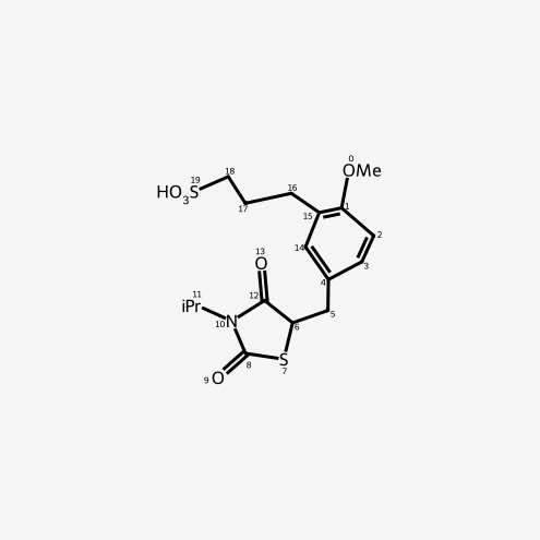 COc1ccc(CC2SC(=O)N(C(C)C)C2=O)cc1CCCS(=O)(=O)O